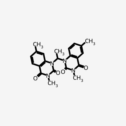 Cc1ccc2c(c1)c(=O)n(C)c(=O)n2C(C)n1c(=O)n(C)c(=O)c2ccc(C)cc21